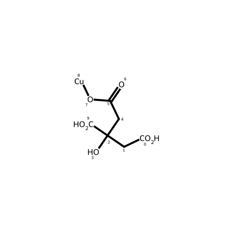 O=C(O)CC(O)(CC(=O)[O][Cu])C(=O)O